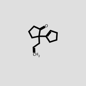 C=CCC1(C2=CCCC2)CCCC1=O